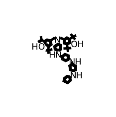 C=C(C)c1cc(CN(Cc2cc(C(C)(C)C)c(O)c(C(C)(C)C)c2)c2ccc(Nc3ccc(Nc4ccc(Nc5ccccc5)cc4)cc3)cc2)cc(C(C)(C)C)c1O